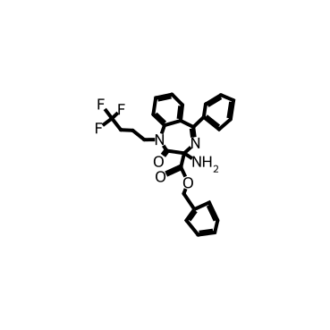 NC1(C(=O)OCc2ccccc2)N=C(c2ccccc2)c2ccccc2N(CCCC(F)(F)F)C1=O